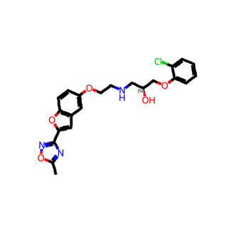 Cc1nc(-c2cc3cc(OCCNC[C@H](O)COc4ccccc4Cl)ccc3o2)no1